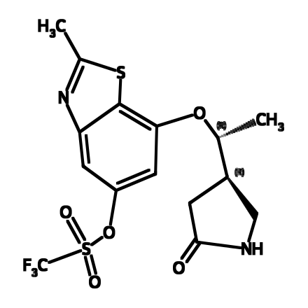 Cc1nc2cc(OS(=O)(=O)C(F)(F)F)cc(O[C@H](C)[C@H]3CNC(=O)C3)c2s1